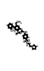 COc1cc2nc(Nc3ccc(S(=O)(=O)NCCN4CCCC4)cc3)n[n+]([O-])c2cc1-c1ccccc1C